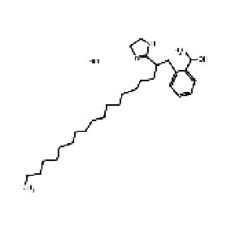 CCCCCCCCCCCCCCCCCC(Cc1ccccc1C(C)O)C1=NCCN1.Cl